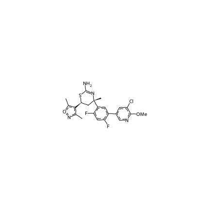 COc1ncc(-c2cc([C@]3(C)C[C@@H](c4c(C)noc4C)SC(N)=N3)c(F)cc2F)cc1Cl